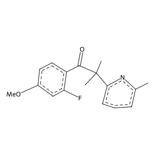 COc1ccc(C(=O)C(C)(C)c2cccc(C)n2)c(F)c1